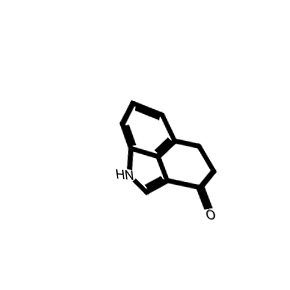 O=C1CCc2cccc3[nH]cc1c23